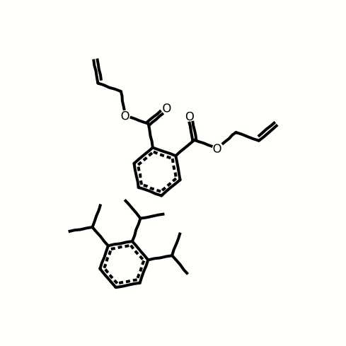 C=CCOC(=O)c1ccccc1C(=O)OCC=C.CC(C)c1cccc(C(C)C)c1C(C)C